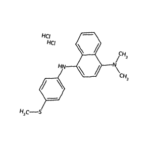 CSc1ccc(Nc2ccc(N(C)C)c3ccccc23)cc1.Cl.Cl